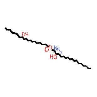 CCCCCCCCCCCCCC=CC(O)C(N)COC(=O)CCCCCCCCCCC(O)CCCCCC